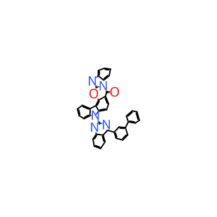 O=c1c2ccc3c(c4ccccc4n3-c3nc(-c4cccc(-c5ccccc5)c4)c4ccccc4n3)c2oc2nc3ccccc3n12